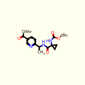 COC(=O)c1ccc(C(C)NC(=O)C2(NC(=O)OC(C)(C)C)CC2)nc1